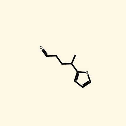 CC(C[CH]C=O)c1cccs1